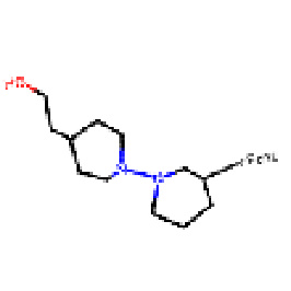 CCCCCC1CCCN(N2CCC(CCO)CC2)C1